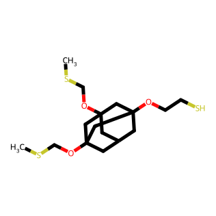 CSCOC12CC3CC(OCCS)(C1)CC(OCSC)(C3)C2